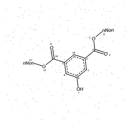 CCCCCCCCCOC(=O)c1cc(O)cc(C(=O)OCCCCCCCCC)c1